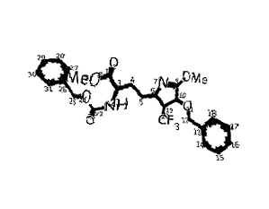 COC(=O)C(CCC1N=C(OC)C(OCc2ccccc2)C1C(F)(F)F)NC(=O)OCc1ccccc1